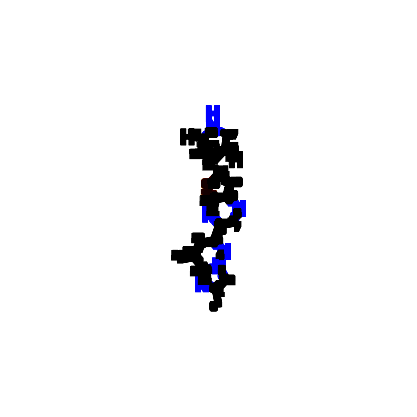 Cc1cn2nc(-c3cnc4cc([C@@H]5C[C@H]6C[C@@H]5CN6)sc4n3)cc(C)c2n1